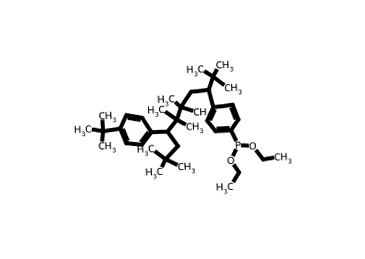 CCOP(OCC)c1ccc(C(CC(C)(C)C(C)(C)C(CC(C)(C)C)c2ccc(C(C)(C)C)cc2)C(C)(C)C)cc1